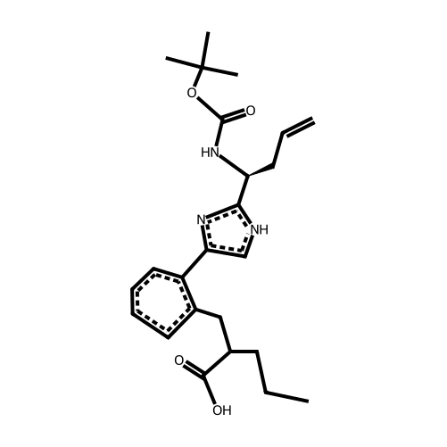 C=CC[C@H](NC(=O)OC(C)(C)C)c1nc(-c2ccccc2CC(CCC)C(=O)O)c[nH]1